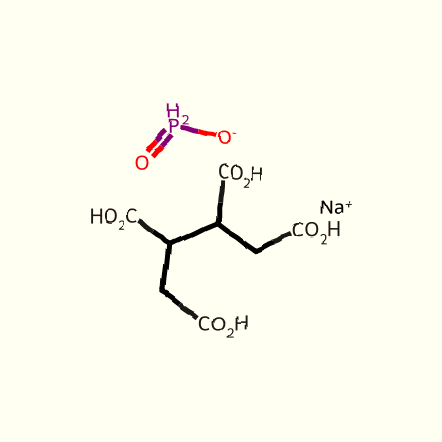 O=C(O)CC(C(=O)O)C(CC(=O)O)C(=O)O.O=[PH2][O-].[Na+]